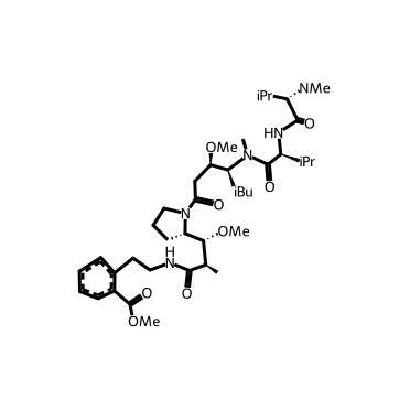 CCC(C)[C@@H]([C@@H](CC(=O)N1CCC[C@H]1[C@H](OC)[C@@H](C)C(=O)NCCc1ccccc1C(=O)OC)OC)N(C)C(=O)[C@@H](NC(=O)[C@@H](NC)C(C)C)C(C)C